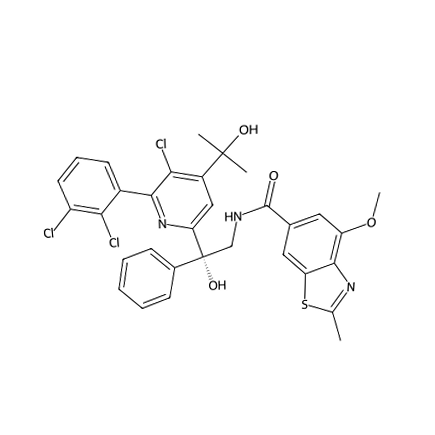 COc1cc(C(=O)NC[C@@](O)(c2ccccc2)c2cc(C(C)(C)O)c(Cl)c(-c3cccc(Cl)c3Cl)n2)cc2sc(C)nc12